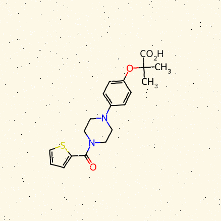 CC(C)(Oc1ccc(N2CCN(C(=O)c3cccs3)CC2)cc1)C(=O)O